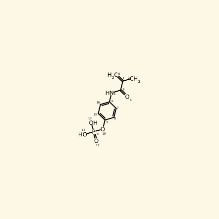 C=C(C)C(=O)Nc1ccc(OP(=O)(O)O)cc1